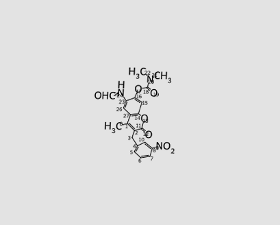 Cc1c(Cc2cccc([N+](=O)[O-])c2)c(=O)oc2cc(OC(=O)N(C)C)c(NC=O)cc12